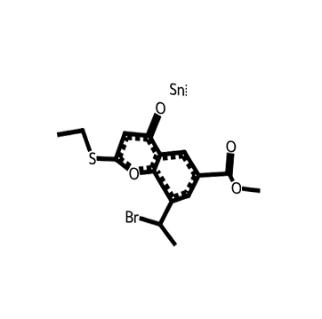 CCSc1cc(=O)c2cc(C(=O)OC)cc(C(C)Br)c2o1.[Sn]